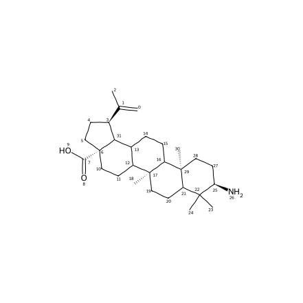 C=C(C)[C@@H]1CC[C@]2(C(=O)O)CCC3C(CCC4[C@@]3(C)CCC3C(C)(C)[C@H](N)CC[C@@]34C)C12